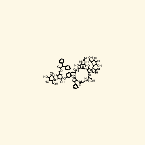 CC(c1ccccc1)C1NC(=O)CNC(=O)C(CO)NC(=O)C(C(O)C2CNC(=N)N2C2OC(CO)C(O)C(O)C2O)NC(=O)C(C(O)C2CNC(=N)N2)NC(=O)C(Cc2ccc(OC3OC(COC(=O)C(c4ccccc4)c4ccccc4)C(OC4OC(CO)C(O)C(O)C4O)C(O)C3O)cc2)NC1=O